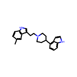 Cc1ccc2[nH]cc(CCN3CCC(c4cccc5[nH]ccc45)CC3)c2c1